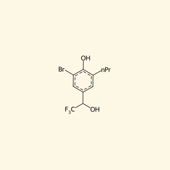 CCCc1cc(C(O)C(F)(F)F)cc(Br)c1O